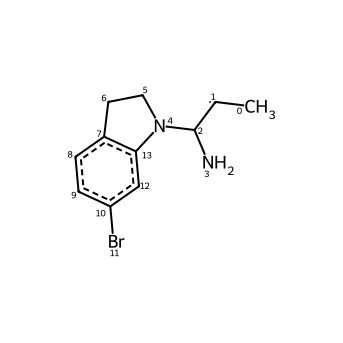 C[CH]C(N)N1CCc2ccc(Br)cc21